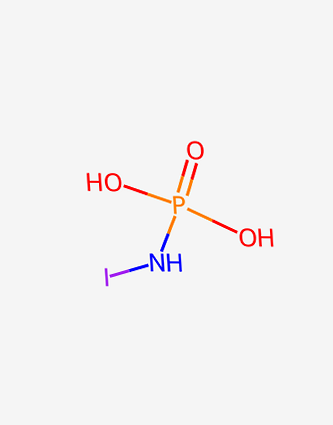 O=P(O)(O)NI